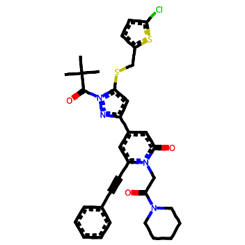 CC(C)(C)C(=O)n1nc(-c2cc(C#Cc3ccccc3)n(CC(=O)N3CCCCC3)c(=O)c2)cc1SCc1ccc(Cl)s1